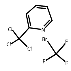 ClC(Cl)(Cl)c1ccccn1.FC(F)(F)Br